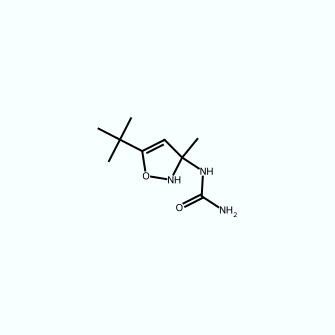 CC1(NC(N)=O)C=C(C(C)(C)C)ON1